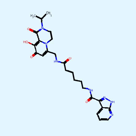 CC(C)N1CCn2c(CNC(=O)CCCCCNC(=O)c3n[nH]c4ncccc34)cc(=O)c(O)c2C1=O